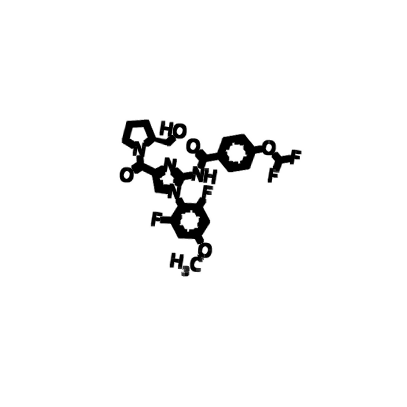 COc1cc(F)c(-n2cc(C(=O)N3CCC[C@H]3CO)nc2NC(=O)c2ccc(OC(F)F)cc2)c(F)c1